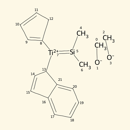 C[O-].C[O-].C[Si](C)=[Ti+2]([C]1=CC=CC1)[CH]1C=Cc2ccccc21